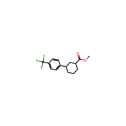 COC(=O)C1CCCC(c2ccc(C(F)(F)F)cc2)C1